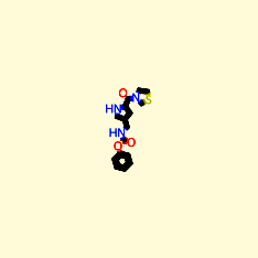 O=C(NCC1CNC(C(=O)N2CCSC2)C1)Oc1ccccc1